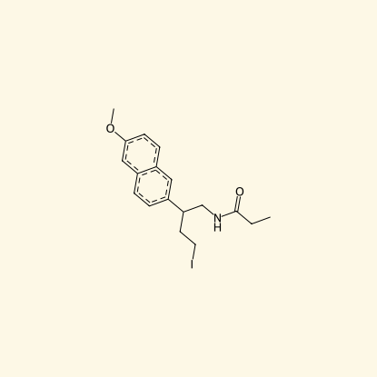 CCC(=O)NCC(CCI)c1ccc2cc(OC)ccc2c1